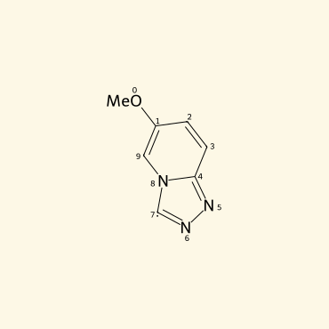 COc1ccc2nn[c]n2c1